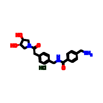 Cl.NCc1ccc(C(=O)NCc2ccc(CC(=O)N3C[C@H](O)[C@@H](O)C3)cc2)cc1